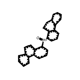 O=[PH](c1cccc2c1ccc1ccccc12)c1cccc2c1ccc1ccccc12